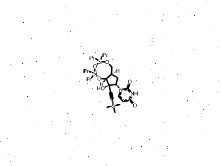 CC(C)[Si]1(C(C)C)OC[C@H]2C[C@@H](n3ccc(=O)[nH]c3=O)[C@](O)(C#C[Si](C)(C)C)[C@@H]2O[Si](C(C)C)(C(C)C)O1